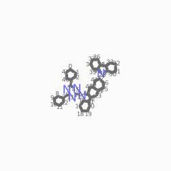 c1ccc(-c2nc(-c3ccccc3)nc(-n3c4ccccc4c4cc5ccc(-n6c7ccccc7c7ccccc76)cc5cc43)n2)cc1